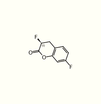 O=C1Oc2cc(F)ccc2C[C@@H]1F